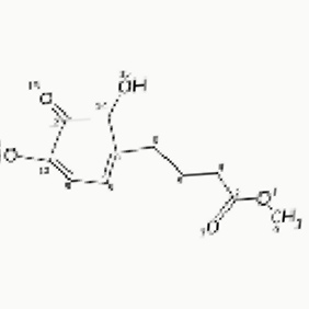 COC(=O)CCCC1=CC=C(O)C(=O)C1O